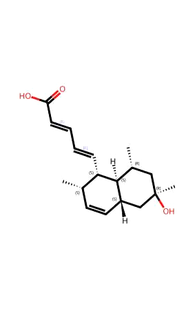 C[C@@H]1C[C@@](C)(O)C[C@@H]2C=C[C@H](C)[C@H](/C=C/C=C/C(=O)O)[C@@H]12